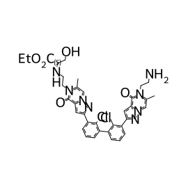 CCOC(=O)[C@H](CO)NCCn1c(C)cn2nc(-c3cccc(-c4cccc(-c5cc6c(=O)n(CCN)c(C)cn6n5)c4Cl)c3Cl)cc2c1=O